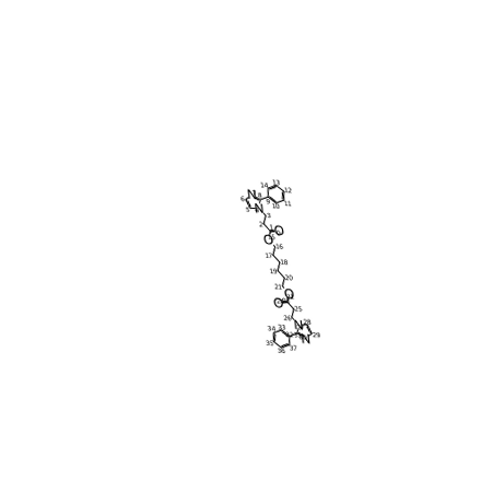 O=C(CCn1ccnc1-c1ccccc1)OCCCCCCOC(=O)CCn1ccnc1-c1ccccc1